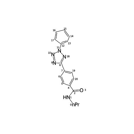 CCCNC(=O)c1ccc(-c2nnn(-c3ccccc3)n2)cc1